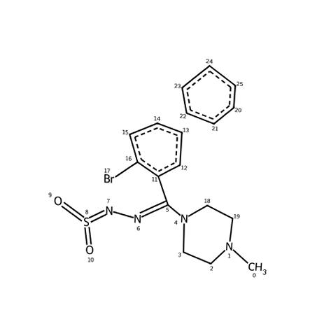 CN1CCN(C(=NN=S(=O)=O)c2ccccc2Br)CC1.c1ccccc1